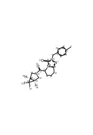 Cc1ccc(Cn2nc3n(c2=O)C(C(=O)N2C[C@@H]4[C@H](C2)C4(F)F)CCC3)cc1